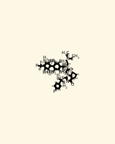 Bc1c(B)c(C(F)(F)F)c(B)c(B)c1-c1c(B)c(B)c(C(B)(B)N(CCN(CC)CC)C(=O)Cn2c(SC(B)(B)c3ccc(F)cc3)nc(=O)c3c2CCC3)c(B)c1B